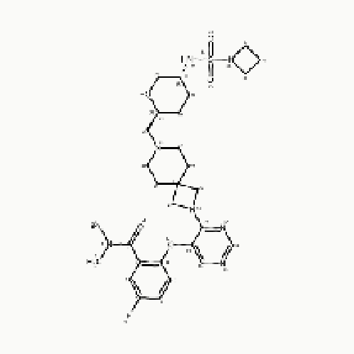 CC(C)N(C)C(=O)c1cc(F)ccc1Oc1cncnc1N1CC2(CCN(C[C@@H]3CC[C@@H](NS(=O)(=O)N4CCC4)CO3)CC2)C1